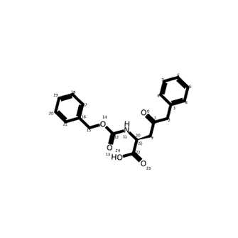 O=C(Cc1ccccc1)C[C@H](NC(=O)OCc1ccccc1)C(=O)O